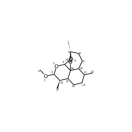 COC1OC2O[C@]3(C)CCC4C(C)CCC([C@H]1C)C24OO3